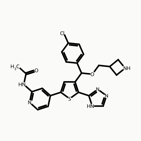 CC(=O)Nc1cc(-c2cc(C(OCC3CNC3)c3ccc(Cl)cc3)c(-c3nnc[nH]3)s2)ccn1